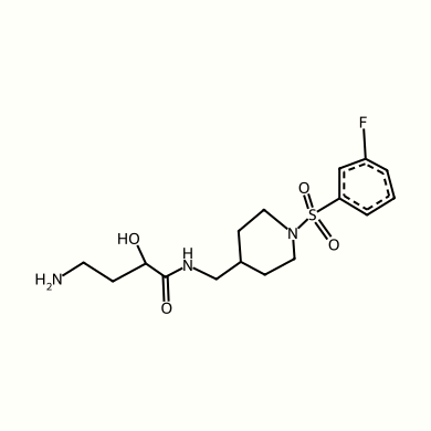 NCCC(O)C(=O)NCC1CCN(S(=O)(=O)c2cccc(F)c2)CC1